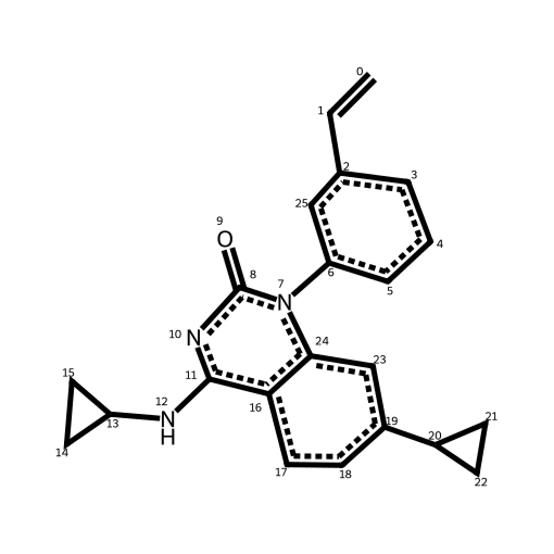 C=Cc1cccc(-n2c(=O)nc(NC3CC3)c3ccc(C4CC4)cc32)c1